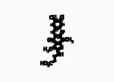 Cn1c(NCCC(=O)O)nc2c1c(=O)n(Cc1ccc(Cl)c(Cl)c1)c(=O)n2C